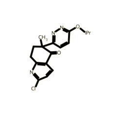 CC(C)Oc1ccc(C2(C)CCc3nc(Cl)ccc3C2=O)nn1